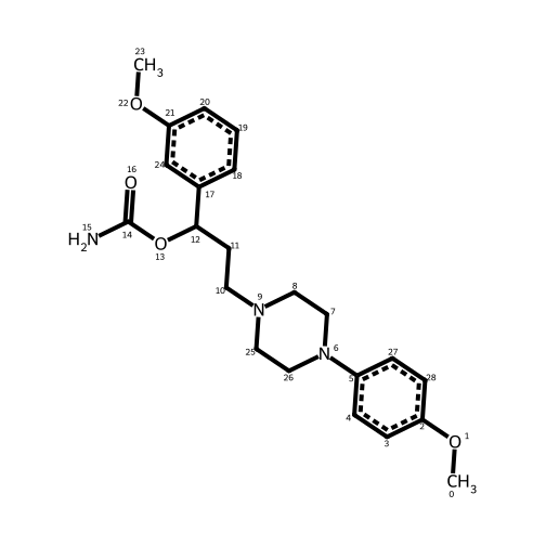 COc1ccc(N2CCN(CCC(OC(N)=O)c3cccc(OC)c3)CC2)cc1